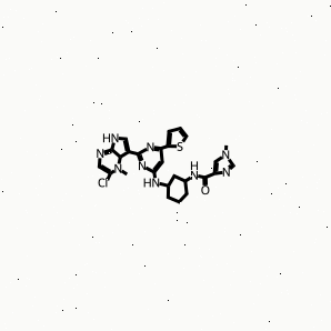 CN1C(Cl)=CN=C2NC=C(c3nc(NC4CCCC(NC(=O)c5cn(C)cn5)C4)cc(-c4cccs4)n3)C21